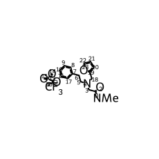 CNC(=O)CN(CCc1cccc(OS(=O)(=O)C(F)(F)F)c1)Cc1ccco1